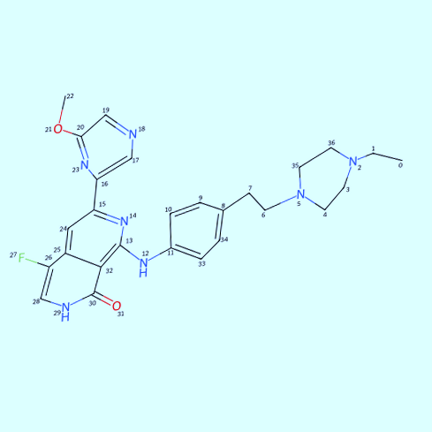 CCN1CCN(CCc2ccc(Nc3nc(-c4cncc(OC)n4)cc4c(F)c[nH]c(=O)c34)cc2)CC1